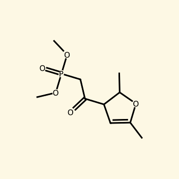 COP(=O)(CC(=O)C1C=C(C)OC1C)OC